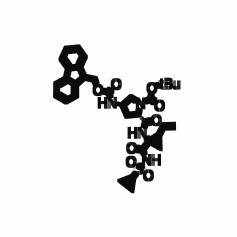 C=CC1CC1(NC(=O)[C@@H]1C[C@@H](NC(=O)OCC2c3ccccc3-c3ccccc32)CN1C(=O)OC(C)(C)C)C(=O)NS(=O)(=O)C1CC1